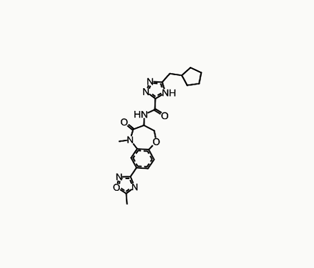 Cc1nc(-c2ccc3c(c2)N(C)C(=O)C(NC(=O)c2nnc(CC4CCCC4)[nH]2)CO3)no1